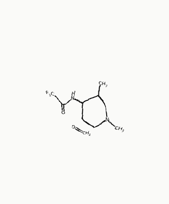 C=O.CC1CN(C)CCC1NC(=O)C(F)(F)F